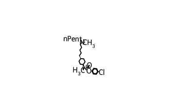 CCCCCN(C)CCCCC[C@H]1CC[C@H](N(C)C(=O)Oc2ccc(Cl)cc2)CC1